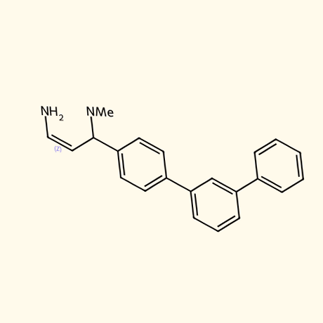 CNC(/C=C\N)c1ccc(-c2cccc(-c3ccccc3)c2)cc1